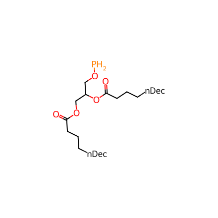 CCCCCCCCCCCCCC(=O)OCC(COP)OC(=O)CCCCCCCCCCCCC